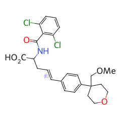 COCC1(c2ccc(/C=C/CC(NC(=O)c3c(Cl)cccc3Cl)C(=O)O)cc2)CCOCC1